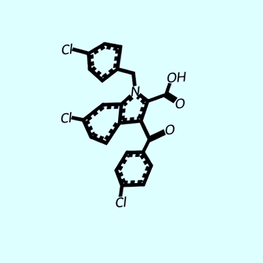 O=C(c1ccc(Cl)cc1)c1c(C(=O)O)n(Cc2ccc(Cl)cc2)c2cc(Cl)ccc12